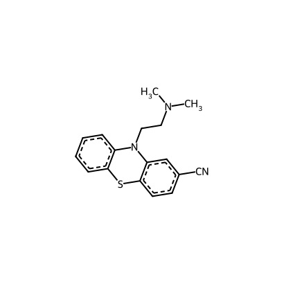 CN(C)CCN1c2ccccc2Sc2ccc(C#N)cc21